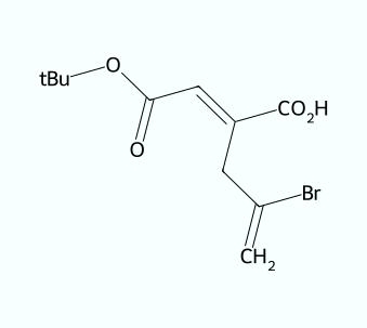 C=C(Br)CC(=CC(=O)OC(C)(C)C)C(=O)O